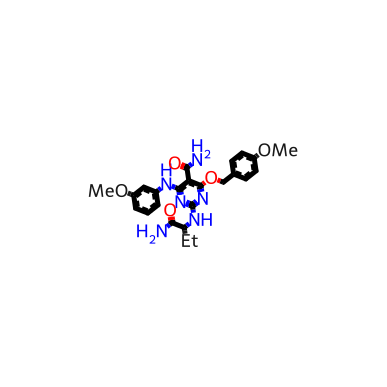 CCC(Nc1nc(Nc2cccc(OC)c2)c(C(N)=O)c(OCc2ccc(OC)cc2)n1)C(N)=O